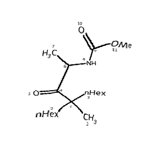 CCCCCCC(C)(CCCCCC)C(=O)C(C)NC(=O)OC